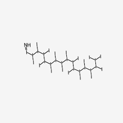 N=II(I)I(I)I(I)I(I)I(I)I(I)I(I)I(I)I(I)I(I)I(I)I(I)I(I)I(I)I(I)I